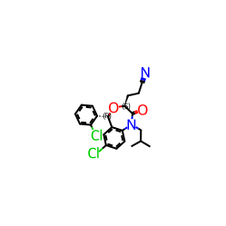 CC(C)CN1C(=O)[C@H](CCC#N)O[C@@H](c2ccccc2Cl)c2cc(Cl)ccc21